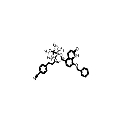 CC(C)(C)[Si](C)(C)O[C@@H](CNCCc1ccc(C#N)cc1)c1ccc(OCc2ccccc2)c2[nH]c(=O)ccc12